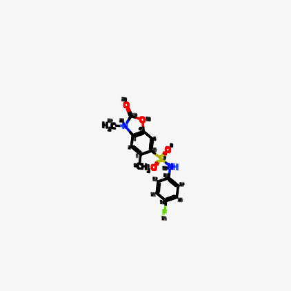 Cc1cc2c(cc1S(=O)(=O)Nc1ccc(F)cc1)oc(=O)n2C